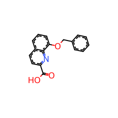 O=C(O)c1ccc2cccc(OCc3ccccc3)c2n1